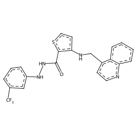 O=C(NNc1cccc(C(F)(F)F)c1)c1sccc1NCc1ccnc2ccccc12